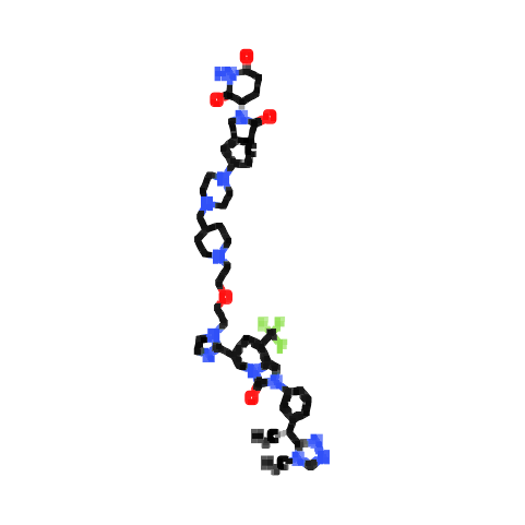 C[C@H](c1cccc(-n2cc3c(C(F)(F)F)cc(-c4nccn4CCOCCN4CCC(CN5CCN(c6ccc7c(c6)CN([C@H]6CCC(=O)NC6=O)C7=O)CC5)CC4)cn3c2=O)c1)c1nncn1C